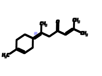 CC(C)=CC(=O)C/C(C)=C1\CC=C(C)CC1